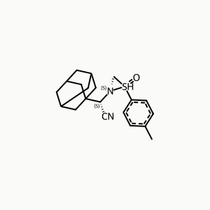 Cc1ccc([SH]2(=O)C[N@@]2[C@H](C#N)C23CC4CC(CC(C4)C2)C3)cc1